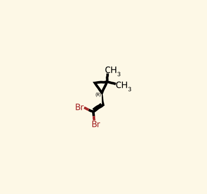 CC1(C)C[C@@H]1C=C(Br)Br